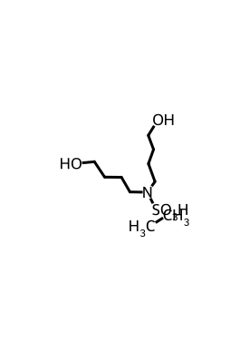 CC.O=S(=O)(O)N(CCCCO)CCCCO